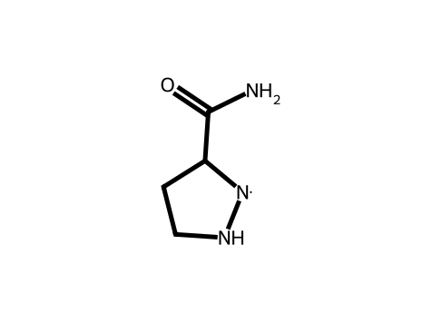 NC(=O)C1CCN[N]1